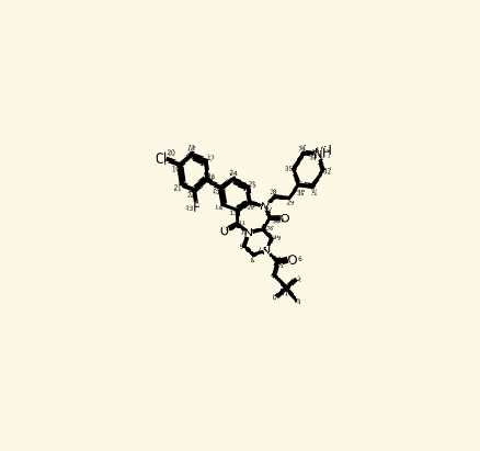 CC(C)(C)CC(=O)N1CCN2C(=O)c3cc(-c4ccc(Cl)cc4F)ccc3N(CCC3CCNCC3)C(=O)C2C1